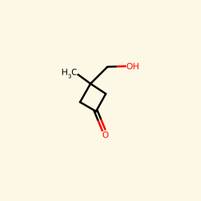 CC1(CO)CC(=O)C1